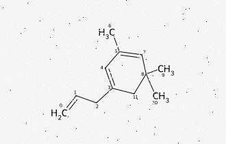 C=CCC1=CC(C)=CC(C)(C)C1